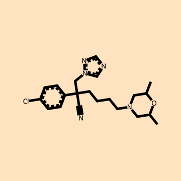 CC1CN(CCCCC(C#N)(Cn2cncn2)c2ccc(Cl)cc2)CC(C)O1